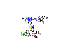 COCC(C)N1CC(c2nn(C)c3ccc(-c4nc5cc(C)c(C(OC(C)(C)C)C(=O)O)c(-c6ccc(Cl)cc6)c5s4)cc23)C1